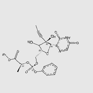 CC#C[C@@]1(O)C(O)[C@@H](CO[P@](=O)(Oc2ccccc2)O[C@@H](C)C(=O)OC(C)C)O[C@H]1n1ncc(=O)[nH]c1=O